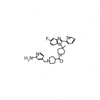 CC1(n2c(-c3ccccn3)nc3cc(F)ccc32)CCN(C(=O)C2CCN(Cc3ccnc(N)c3)CC2)CC1